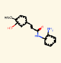 COc1ccc(/C=C/C(=O)Nc2ccccc2N)cc1O